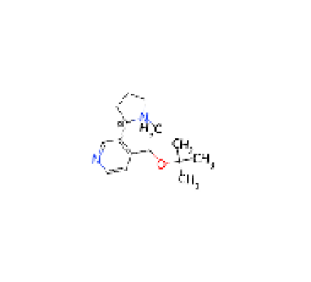 CN1CCC[C@H]1c1cnccc1COC(C)(C)C